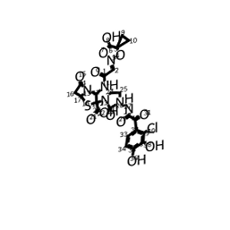 O=C(C=NOC1(C(=O)O)CC1)NC1N2C(=O)CC2SC1(C(=O)O)N1CCN(NC(=O)C(=O)c2ccc(O)c(O)c2Cl)C1=O